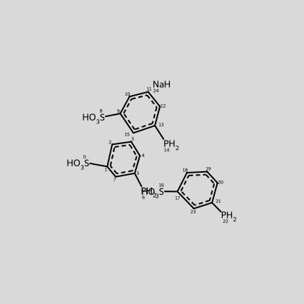 O=S(=O)(O)c1cccc(P)c1.O=S(=O)(O)c1cccc(P)c1.O=S(=O)(O)c1cccc(P)c1.[NaH]